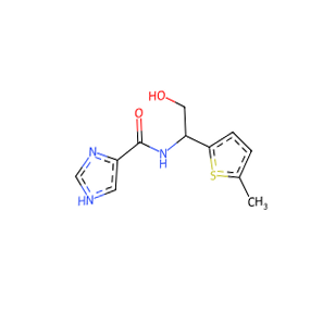 Cc1ccc(C(CO)NC(=O)c2c[nH]cn2)s1